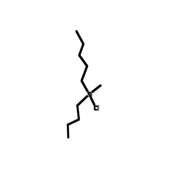 CCCCC[Si](C)(Cl)CCCC